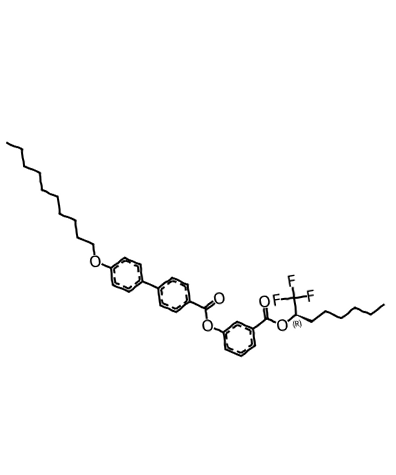 CCCCCCCCCCOc1ccc(-c2ccc(C(=O)Oc3cccc(C(=O)O[C@H](CCCCCC)C(F)(F)F)c3)cc2)cc1